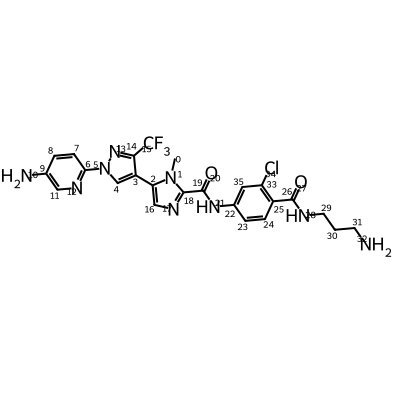 Cn1c(-c2cn(-c3ccc(N)cn3)nc2C(F)(F)F)cnc1C(=O)Nc1ccc(C(=O)NCCCN)c(Cl)c1